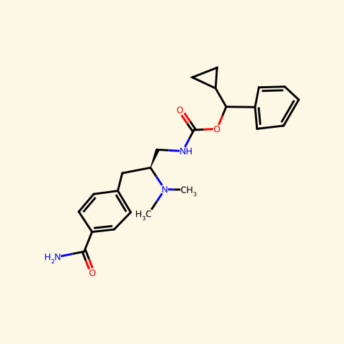 CN(C)[C@H](CNC(=O)OC(c1ccccc1)C1CC1)Cc1ccc(C(N)=O)cc1